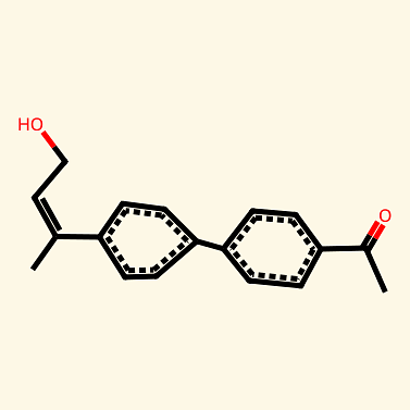 CC(=O)c1ccc(-c2ccc(/C(C)=C\CO)cc2)cc1